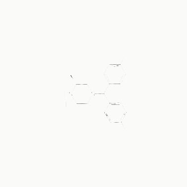 C[C@@H]1CN[C@@H](C)CN1C(c1ccc(Cl)cc1)c1ccc(Cl)cc1.Cl